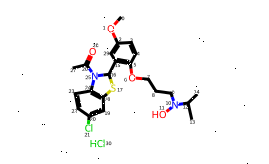 COc1ccc(OCCCN(O)C(C)C)c(C2Sc3cc(Cl)ccc3N2C(C)=O)c1.Cl